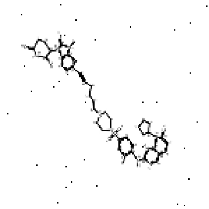 Cc1cc(S(=O)(=O)N2CCN(CCCCC#Cc3ccc4c(c3)n(C)c(=O)n4C3CCC(=O)NC3=O)CC2)ccc1Nc1ncc2ccc(=O)n(C3CCCC3)c2n1